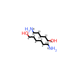 NCCCCCCO.NCCCCCO